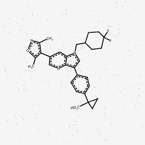 Cc1noc(C)c1-c1cnc2c(-c3ccc(C4(C(=O)O)CC4)cc3)cn(CC3CCC(F)(F)CC3)c2c1